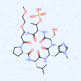 COCCOCCC(=O)N1CCC[C@H]1C(=O)N[C@@H](CC(C)C)C(=O)N[C@@H](Cc1cncn1C)C(=O)N[C@@H](CO)C(=O)N[C@H](C(N)=O)C(C)OP(=O)(O)O